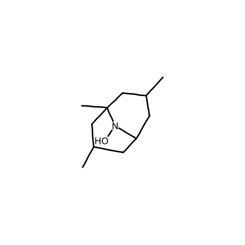 CC1CC2CC(C)CC(C)(C1)N2O